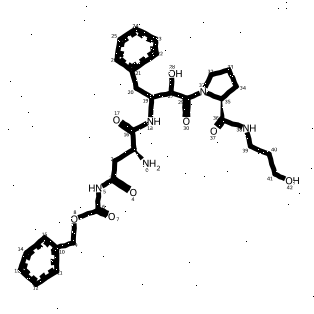 N[C@@H](CC(=O)NC(=O)OCc1ccccc1)C(=O)NC(Cc1ccccc1)C(O)C(=O)N1CCC[C@H]1C(=O)NCCCO